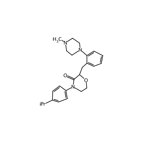 CC(C)c1ccc(N2CCOC(Cc3ccccc3N3CCN(C)CC3)C2=O)cc1